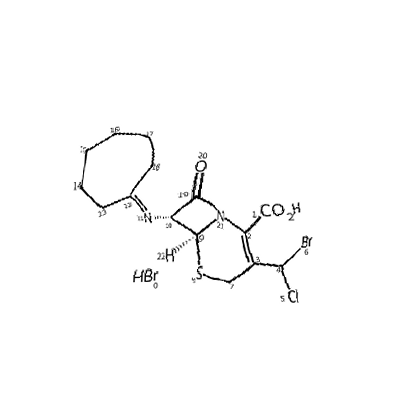 Br.O=C(O)C1=C(C(Cl)Br)CS[C@H]2[C@H](N=C3CCCCCC3)C(=O)N12